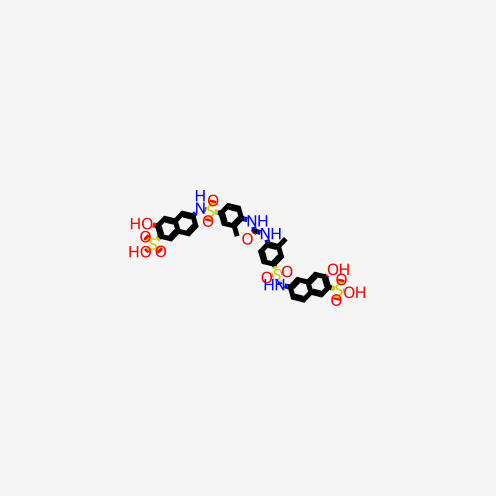 Cc1cc(S(=O)(=O)Nc2ccc3cc(S(=O)(=O)O)c(O)cc3c2)ccc1NC(=O)Nc1ccc(S(=O)(=O)Nc2ccc3cc(S(=O)(=O)O)c(O)cc3c2)cc1C